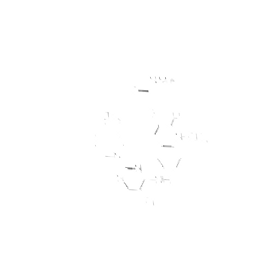 CNC(=O)COc1cc2cc(Nc3nc(N4CCCC(C)CC4)ncc3Cl)ccc2n(C)c1=O